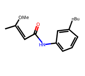 CCCCc1cccc(NC(=O)/C=C(/C)OC)c1